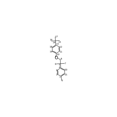 Cc1ccc(C(C)(C)COc2ccc(C(C)(C)C)cc2)cc1